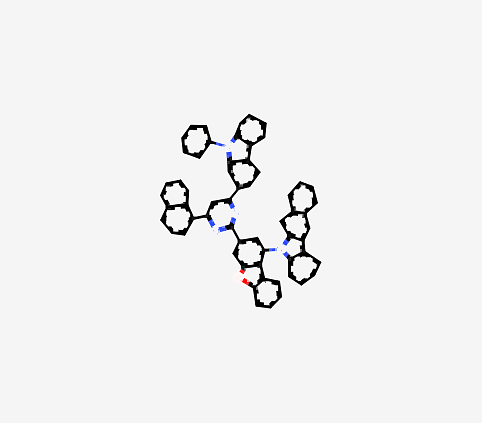 c1ccc(-n2c3ccccc3c3ccc(-c4cc(-c5cccc6ccccc56)nc(-c5cc(-n6c7ccccc7c7cc8ccccc8cc76)c6c(c5)oc5ccccc56)n4)cc32)cc1